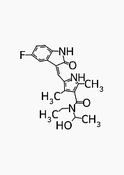 CCN(C(=O)c1c(C)[nH]c(/C=C2\C(=O)Nc3ccc(F)cc32)c1C)C(C)O